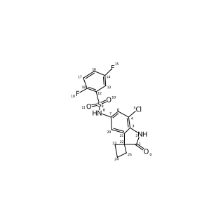 O=C1Nc2c(Cl)cc(NS(=O)(=O)c3cc(F)ccc3F)cc2C12CCC2